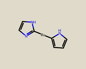 c1c[nH][c]([Ru][c]2ncc[nH]2)c1